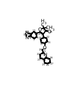 CC1(C)OC(c2ccc3nsnc3c2)=C(c2ccc(OCc3ccc4ccccc4n3)cc2)C1=O